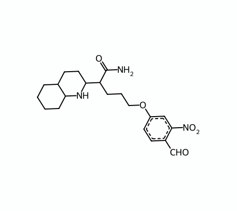 NC(=O)C(CCCOc1ccc(C=O)c([N+](=O)[O-])c1)C1CCC2CCCCC2N1